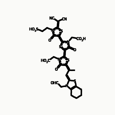 C/C(C=C1SC2=C(CCCC2)N1CC=O)=c1\s/c(=c2/s/c(=c3/sc(=C(C#N)C#N)n(CCS(=O)(=O)O)c3=O)n(CC(=O)O)c2=O)n(CC(=O)O)c1=O